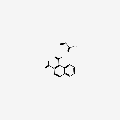 C=CC(=O)O.O=C(O)c1ccc2ccccc2c1C(=O)O